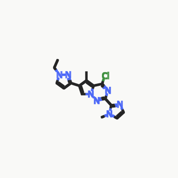 CCn1ccc(-c2cn3nc(-c4nccn4C)nc(Cl)c3c2C)n1